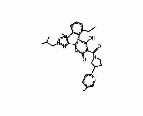 CCc1cccc(CC)c1-n1c(-c2ccn(CC(C)C)n2)nc(=O)c(C(=O)N2CCC(c3ccc(F)cn3)C2)c1O